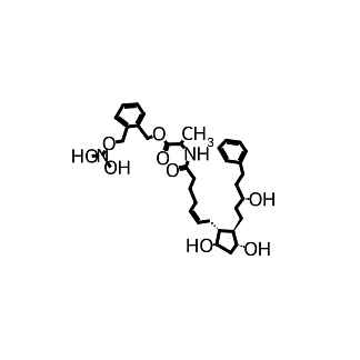 CC(NC(=O)CCC/C=C\C[C@@H]1[C@@H](CC[C@@H](O)CCc2ccccc2)[C@H](O)C[C@@H]1O)C(=O)OCc1ccccc1CON(O)O